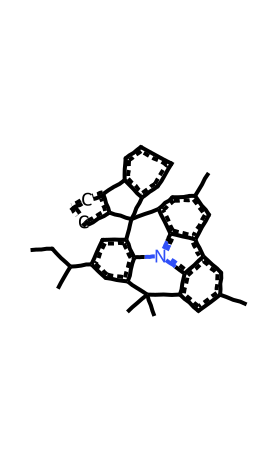 CCC(C)c1cc2c3c(c1)C1(c4ccccc4-c4ccccc41)c1cc(C)cc4c5cc(C)cc(c5n-3c14)C2(C)C